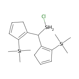 C[Si](C)(C)C1=C(C([SiH2]Cl)C2=C([Si](C)(C)C)C=CC2)CC=C1